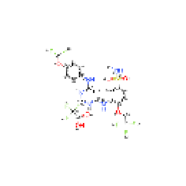 CNS(=O)(=O)c1ccc(OCC(F)(F)F)c(Nc2cc(Nc3ccc(OC(F)F)cc3)ncn2)c1.O=C(O)C(F)(F)F